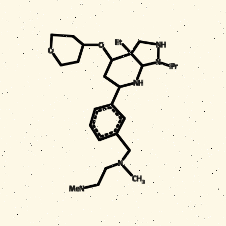 CCC12CNN(C(C)C)C1NC(c1cccc(CN(C)CCNC)c1)CC2OC1CCOCC1